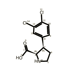 O=C(O)[C@@H]1NCC[C@@H]1c1ccc(Cl)c(Cl)c1